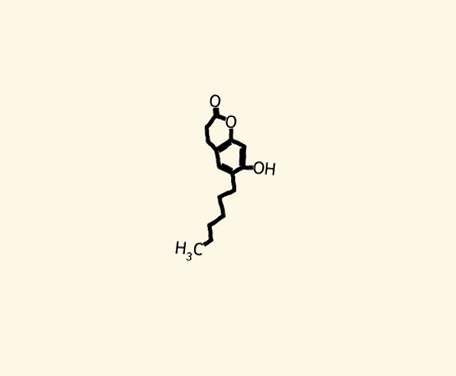 CCCCCCc1cc2c(cc1O)OC(=O)CC2